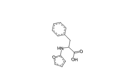 O=C(O)C(Cc1ccccc1)Nc1ccco1